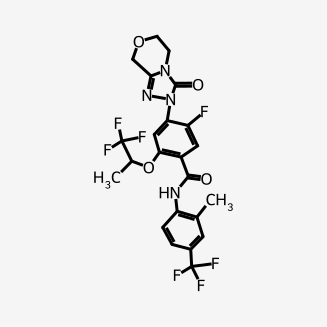 Cc1cc(C(F)(F)F)ccc1NC(=O)c1cc(F)c(-n2nc3n(c2=O)CCOC3)cc1OC(C)C(F)(F)F